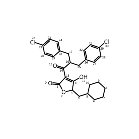 O=C1OC(CC2CCCCC2)C(O)=C1C(=O)C(Cc1ccc(Cl)cc1)Cc1ccc(Cl)cc1